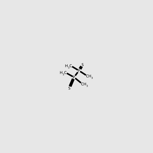 CP(C)(=S)P(C)(C)=S